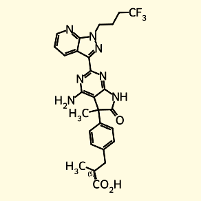 C[C@@H](Cc1ccc(C2(C)C(=O)Nc3nc(-c4nn(CCCC(F)(F)F)c5ncccc45)nc(N)c32)cc1)C(=O)O